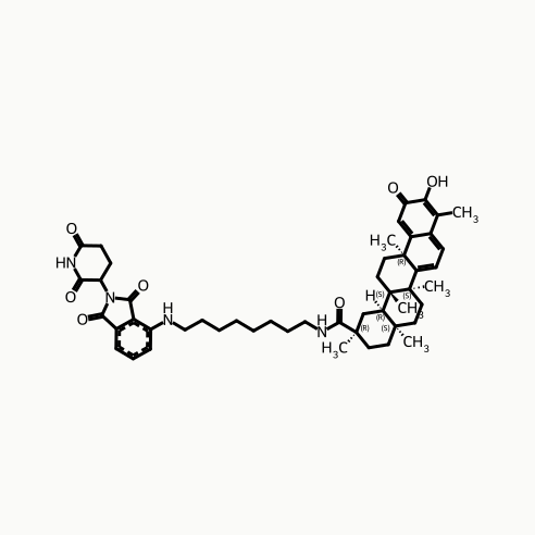 CC1=C(O)C(=O)C=C2C1=CC=C1[C@@]2(C)CC[C@@]2(C)[C@@H]3C[C@](C)(C(=O)NCCCCCCCCNc4cccc5c4C(=O)N(C4CCC(=O)NC4=O)C5=O)CC[C@]3(C)CC[C@]12C